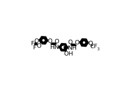 O=C(COc1ccc2c(c1)OC(F)(F)O2)NC12CCC(NC(=O)COc3ccc(OC(F)(F)F)cc3)(CC1)C(O)C2